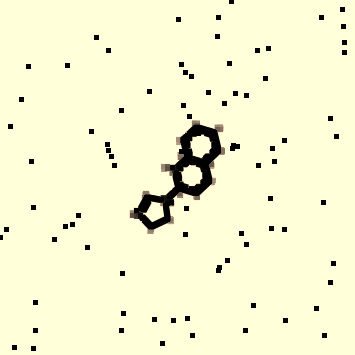 [C]1=NCCN1c1ccc2ccccc2n1